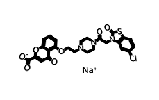 O=C([O-])c1cc(=O)c2c(OCCN3CCN(C(=O)Cn4c(=O)sc5ccc(Cl)cc54)CC3)cccc2o1.[Na+]